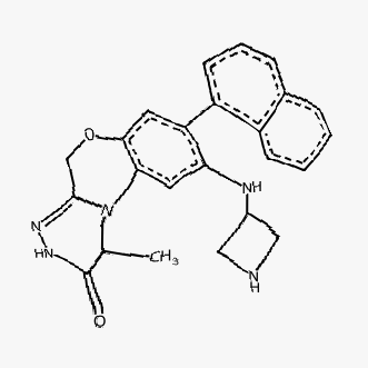 CC1C(=O)NN=C2COc3cc(-c4cccc5ccccc45)c(NC4CNC4)cc3N21